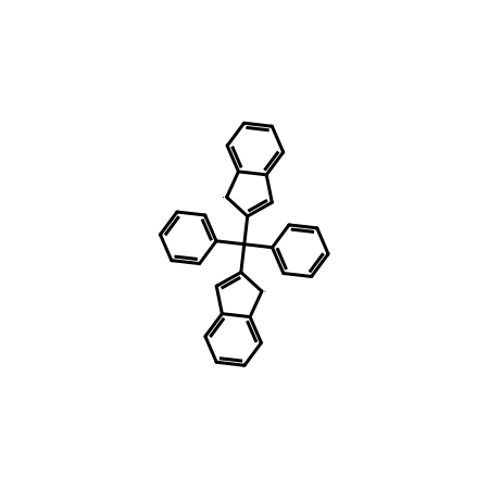 [CH]1C(C(C2=Cc3ccccc3[CH]2)(c2ccccc2)c2ccccc2)=Cc2ccccc21